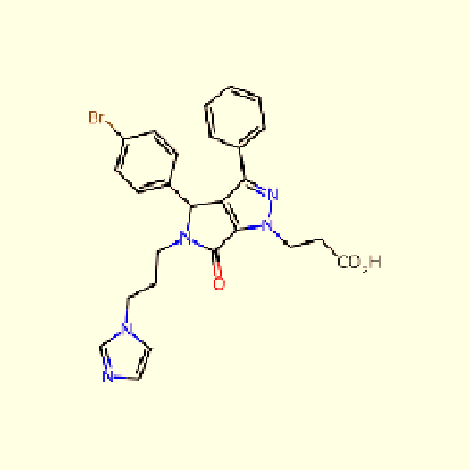 O=C(O)CCn1nc(-c2ccccc2)c2c1C(=O)N(CCCn1ccnc1)C2c1ccc(Br)cc1